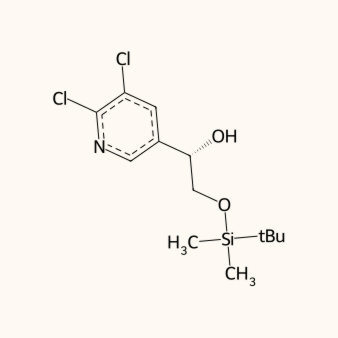 CC(C)(C)[Si](C)(C)OC[C@@H](O)c1cnc(Cl)c(Cl)c1